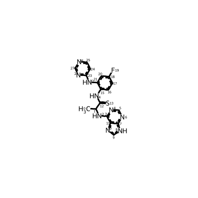 CC(Nc1ncnc2[nH]cnc12)C(=S)Nc1ccc(F)cc1Nc1ccncn1